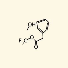 CO.O=C(Cc1ccccc1)OC(F)(F)F